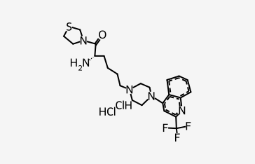 Cl.Cl.N[C@@H](CCCCN1CCN(c2cc(C(F)(F)F)nc3ccccc23)CC1)C(=O)N1CCSC1